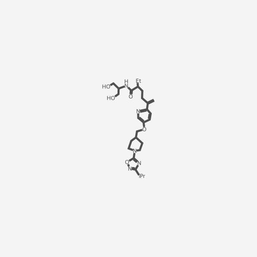 C=C(CCC(CC)C(=O)NC(CO)CO)c1ccc(OCC2CCN(c3nc(C(C)C)no3)CC2)cn1